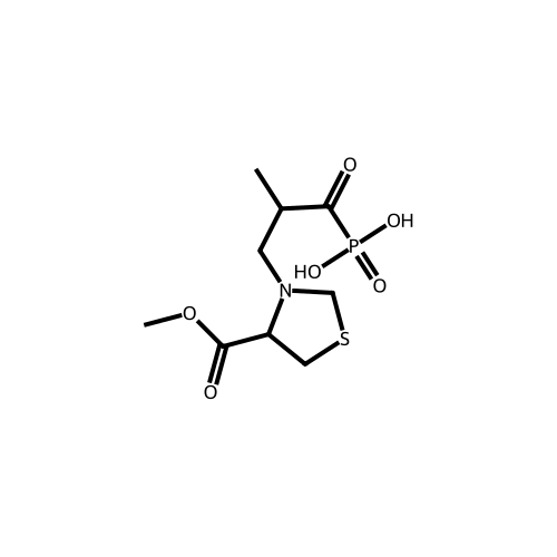 COC(=O)C1CSCN1CC(C)C(=O)P(=O)(O)O